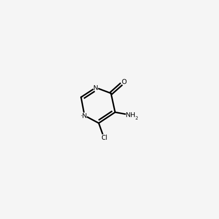 NC1=C(Cl)[N]C=NC1=O